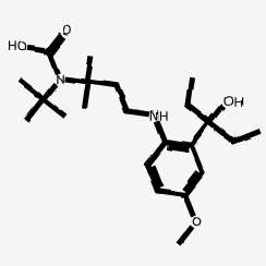 CCC(O)(CC)c1cc(OC)ccc1NCCC(C)(C)N(C(=O)O)C(C)(C)C